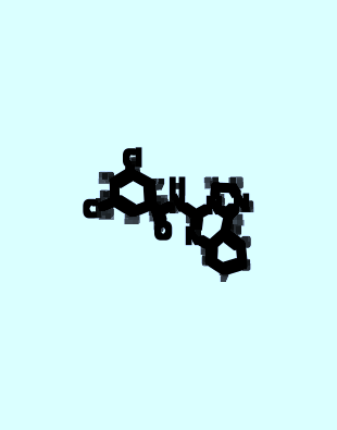 O=C(NC1=Nc2ccccc2C2=NCCN12)c1cc(Cl)cc(Cl)c1